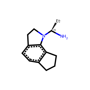 C[CH][C@@H](N)N1CCc2ccc3c(c21)CCC3